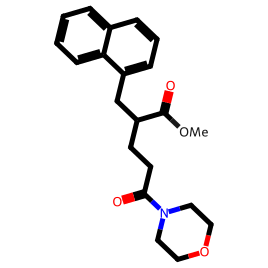 COC(=O)C(CCC(=O)N1CCOCC1)Cc1cccc2ccccc12